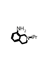 CC(C)N1CCc2cccc(N)c2C1